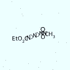 CCOC(=O)N1CCC(N2CCC(n3c(=O)n(C)c4ccccc43)CC2)CC1